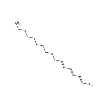 CC=CC=CC=CCCCCCCCCCC